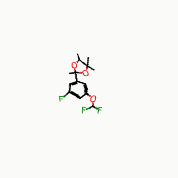 CC1OC(C)(c2cc(F)cc(OC(F)F)c2)OC1(C)C